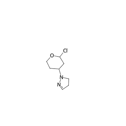 ClC1CC(N2CCC=N2)CCO1